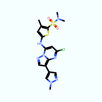 Cc1cc(Nc2cc(Cl)nc3c(-c4cnn(C)c4)cnn23)sc1S(=O)(=O)N(C)C